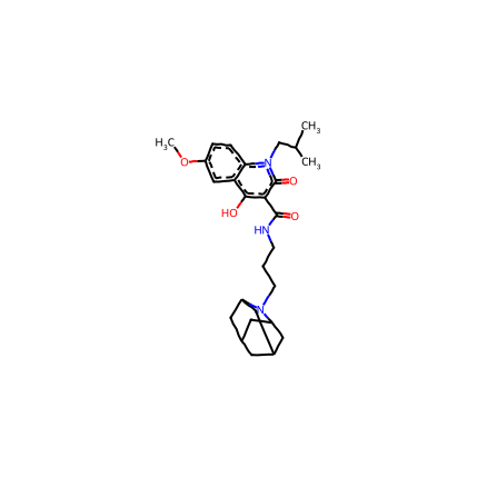 COc1ccc2c(c1)c(O)c(C(=O)NCCCN1C3CC4CC(C3)CC1C4)c(=O)n2CC(C)C